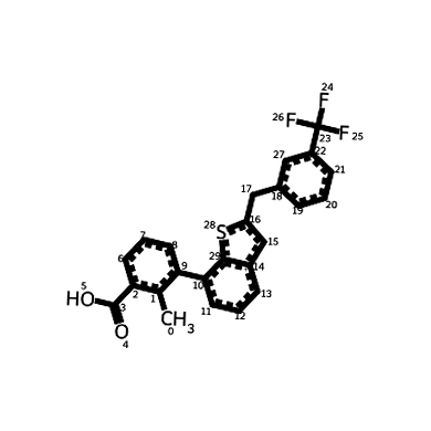 Cc1c(C(=O)O)cccc1-c1cccc2cc(Cc3cccc(C(F)(F)F)c3)sc12